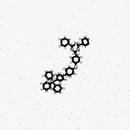 c1ccc(-c2nc(-c3ccccc3)nc(-c3ccc(Oc4ccc(-c5ccc([Si](c6ccccc6)(c6ccccc6)c6ccccc6)cc5)cc4)cc3)n2)cc1